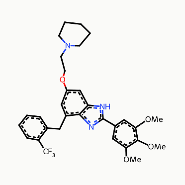 COc1cc(-c2nc3c(Cc4ccccc4C(F)(F)F)cc(OCCN4CCCCC4)cc3[nH]2)cc(OC)c1OC